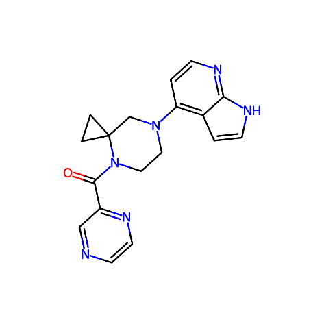 O=C(c1cnccn1)N1CCN(c2ccnc3[nH]ccc23)CC12CC2